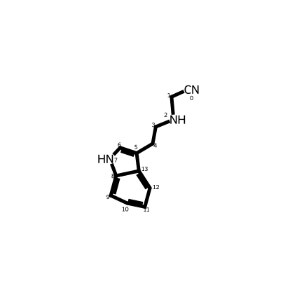 N#CCNCCc1c[nH]c2ccccc12